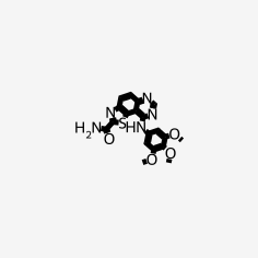 COc1cc(Nc2ncnc3ccc4nc(C(N)=O)sc4c23)cc(OC)c1OC